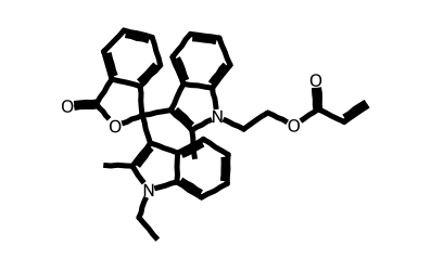 C=CC(=O)OCCn1c(C)c(C2(c3c(C)n(CC)c4ccccc34)OC(=O)c3ccccc32)c2ccccc21